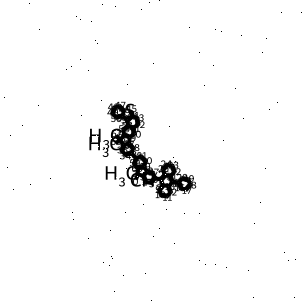 CC1(C)c2ccc(-c3c4ccccc4c(-c4ccccc4)c4ccccc34)cc2-c2ccc(-c3ccc4c(c3)-c3cc5ccc6sc7ccccc7c6c5cc3C4(C)C)cc21